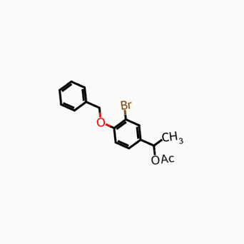 CC(=O)OC(C)c1ccc(OCc2ccccc2)c(Br)c1